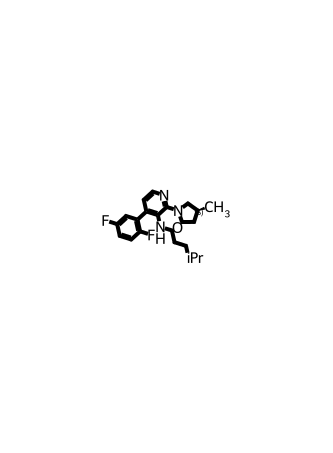 CC(C)CCC(=O)Nc1c(-c2cc(F)ccc2F)ccnc1N1CC[C@H](C)C1